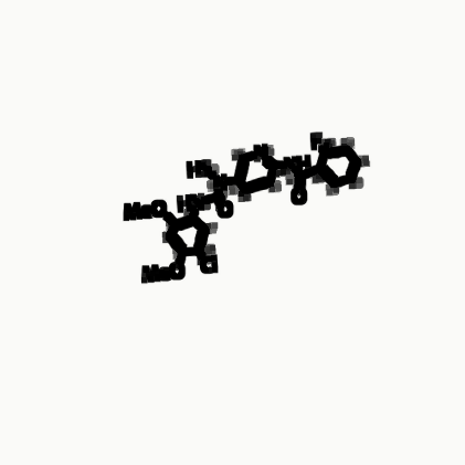 COc1cc(OC)c(NC(=O)N(S)c2ccc(NC(=O)c3ccccc3F)nc2)cc1Cl